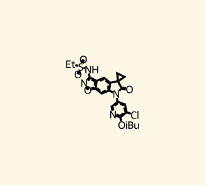 CCS(=O)(=O)Nc1noc2cc3c(cc12)C1(CC1)C(=O)N3c1cnc(OCC(C)C)c(Cl)c1